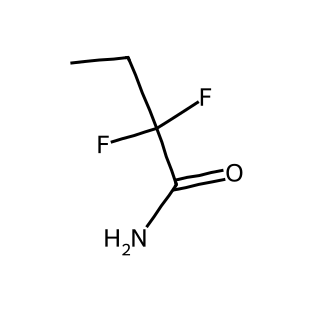 CCC(F)(F)C(N)=O